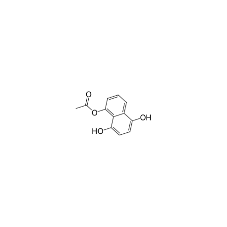 CC(=O)Oc1cccc2c(O)ccc(O)c12